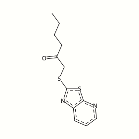 CCCCC(=O)CSc1nc2cccnc2s1